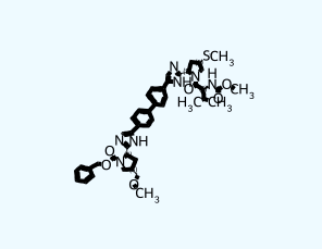 COC[C@H]1C[C@@H](c2ncc(-c3ccc(-c4ccc(-c5cnc([C@@H]6C[C@H](SC)CN6C(=O)[C@@H](NC(=O)OC)C(C)C)[nH]5)cc4)cc3)[nH]2)N(C(=O)OCc2ccccc2)C1